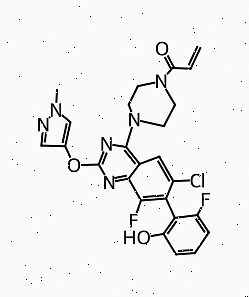 C=CC(=O)N1CCN(c2nc(Oc3cnn(C)c3)nc3c(F)c(-c4c(O)cccc4F)c(Cl)cc23)CC1